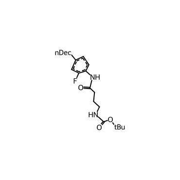 CCCCCCCCCCc1ccc(NC(=O)CCCNC(=O)OC(C)(C)C)c(F)c1